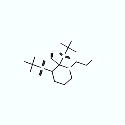 CCCN1CCCC(S(=O)(=O)C(F)(F)F)C1(C=N)S(=O)(=O)C(F)(F)F